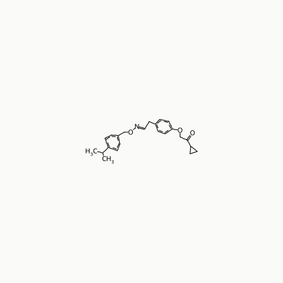 CC(C)c1ccc(CON=CCc2ccc(OCC(=O)C3CC3)cc2)cc1